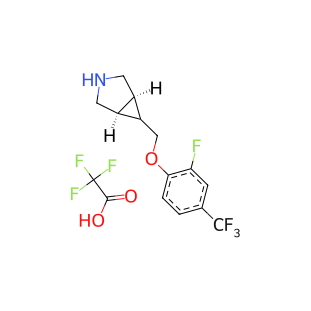 Fc1cc(C(F)(F)F)ccc1OCC1[C@H]2CNC[C@@H]12.O=C(O)C(F)(F)F